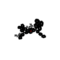 CC1(C)c2ccccc2-c2ccc(N(c3ccc(-c4ccccc4)cc3)c3ccc4c(c3)C(c3ccccc3)(c3ccc(-c5ccc6c(c5)C(C)(C)c5cc(N(c7ccc(-c8ccc(-c9ccccc9)cc8)cc7)c7ccc8c(c7)C(c7ccccc7)(c7ccccc7)c7ccccc7-8)ccc5-6)cc3)c3ccccc3-4)cc21